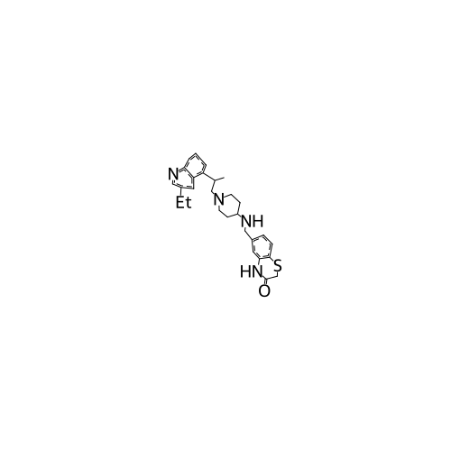 CCc1cnc2cccc(C(C)CN3CCC(NCc4ccc5c(c4)NC(=O)CS5)CC3)c2c1